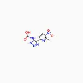 Cc1nc(-c2nnn(C)c2NC(=O)O)ccc1[N+](=O)[O-]